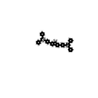 FC1(F)c2cc(-c3ccc(-c4nc(-c5ccccc5)cc(-c5ccccc5)n4)cc3)ccc2-c2ccc(-c3ccc(-c4nc(-c5ccccc5)cc(-c5ccccc5)n4)cc3)cc21